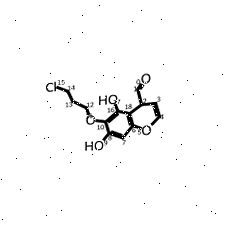 O=CC1C=COc2cc(O)c(OCCCCl)c(O)c21